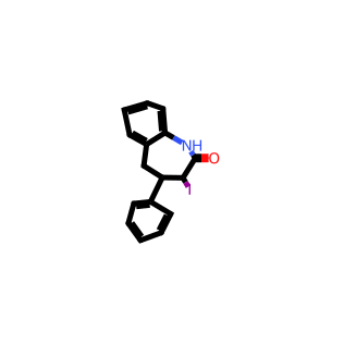 O=C1Nc2ccccc2CC(c2ccccc2)C1I